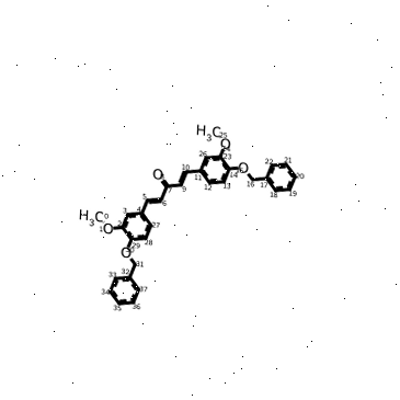 COc1cc(C=CC(=O)C=Cc2ccc(OCc3ccccc3)c(OC)c2)ccc1OCc1ccccc1